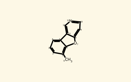 Cc1cccc2c1oc1ccncc12